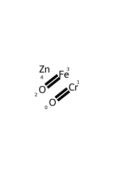 [O]=[Cr].[O]=[Fe].[Zn]